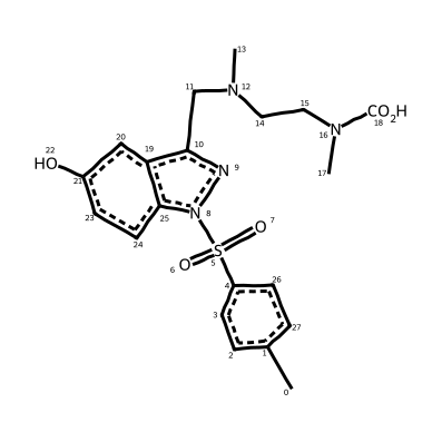 Cc1ccc(S(=O)(=O)n2nc(CN(C)CCN(C)C(=O)O)c3cc(O)ccc32)cc1